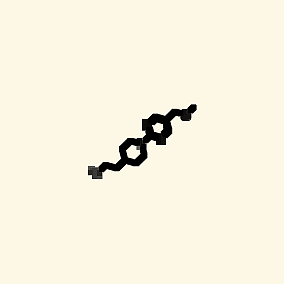 [2H]CCC1CCN(c2ncc(COC)cn2)CC1